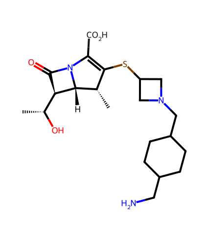 C[C@@H](O)[C@H]1C(=O)N2C(C(=O)O)=C(SC3CN(CC4CCC(CN)CC4)C3)[C@H](C)[C@H]12